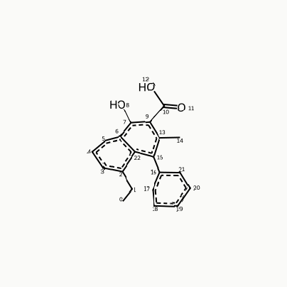 CCc1cccc2c(O)c(C(=O)O)c(C)c(-c3ccccc3)c12